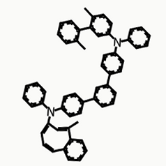 C\C1=C/C(N(c2ccccc2)c2ccc(-c3cccc(-c4ccc(N(c5ccccc5)c5ccc(C)c(-c6ccccc6C)c5)cc4)c3)cc2)=C\C=C/c2ccccc21